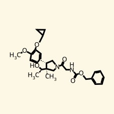 COc1ccc([C@@H]2CN(C(=O)CNC(=O)OCc3ccccc3)C[C@@]2(C)[C@@H](C)O)cc1OCC1CC1